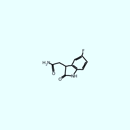 NC(=O)CC1C(=O)Nc2ccc(F)cc21